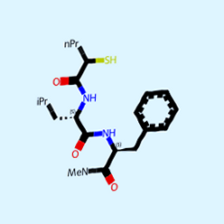 CCCC(S)C(=O)N[C@@H](CC(C)C)C(=O)N[C@@H](Cc1ccccc1)C(=O)NC